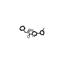 Cc1cccc(-c2ccc(C(=O)N(O)Cc3ccccc3)nc2)c1